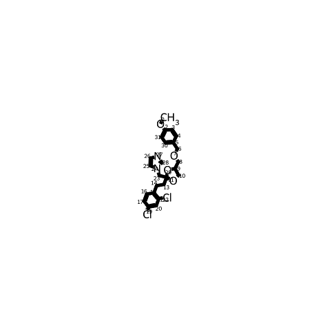 COc1ccc(COCC2COC(CCc3ccc(Cl)cc3Cl)(Cn3ccnc3)O2)cc1